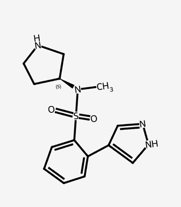 CN([C@H]1CCNC1)S(=O)(=O)c1ccccc1-c1cn[nH]c1